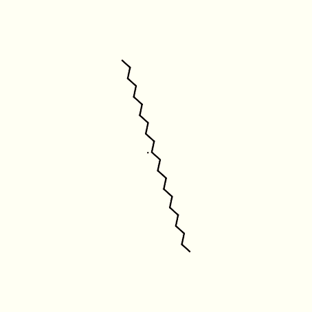 CCCCCCCCCC[CH]CCCCCCCCCCC